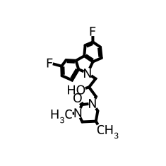 CC1CN(C)C(=O)N(CC(O)Cn2c3ccc(F)cc3c3cc(F)ccc32)C1